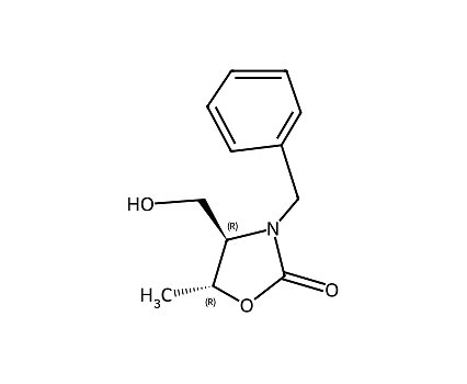 C[C@H]1OC(=O)N(Cc2ccccc2)[C@@H]1CO